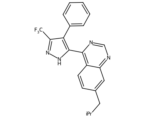 CC(C)Cc1ccc2c(-c3[nH]nc(C(F)(F)F)c3-c3ccccc3)ncnc2c1